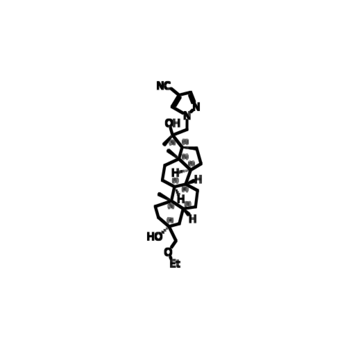 CCOC[C@@]1(O)CC[C@@]2(C)[C@H](CC[C@@H]3[C@@H]2CC[C@@]2(C)[C@H]3CC[C@@H]2[C@](C)(O)Cn2cc(C#N)cn2)C1